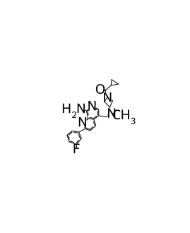 CN(Cc1cnc(N)c2nc(-c3cccc(F)c3)ccc12)C1CN(C(=O)C2CC2)C1